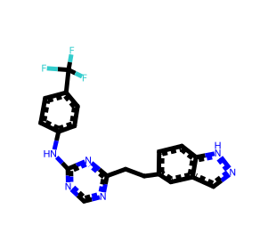 FC(F)(F)c1ccc(Nc2ncnc(CCc3ccc4[nH]ncc4c3)n2)cc1